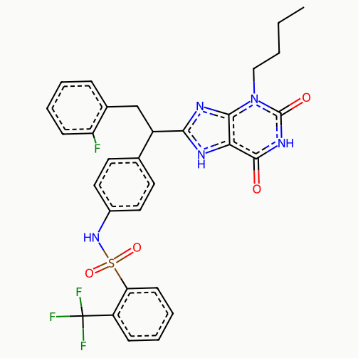 CCCCn1c(=O)[nH]c(=O)c2[nH]c(C(Cc3ccccc3F)c3ccc(NS(=O)(=O)c4ccccc4C(F)(F)F)cc3)nc21